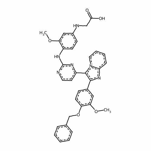 COc1cc(NCC(=O)O)ccc1Nc1nccc(-c2c(-c3ccc(OCc4ccccc4)c(OC)c3)nc3ccccn23)n1